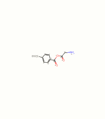 CCOC(=O)c1ccc(C(=O)OC(=O)CN)cc1